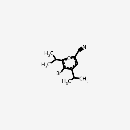 CC(C)c1cc(C#N)cc(C(C)C)c1Br